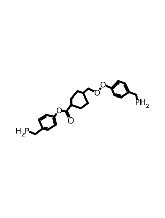 O=C(Oc1ccc(CP)cc1)C1CCC(COOc2ccc(CP)cc2)CC1